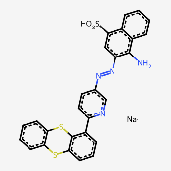 Nc1c(N=Nc2ccc(-c3cccc4c3Sc3ccccc3S4)nc2)cc(S(=O)(=O)O)c2ccccc12.[Na]